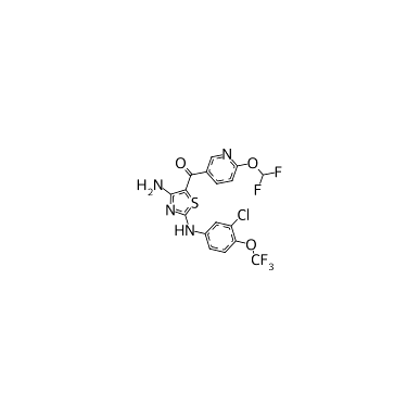 Nc1nc(Nc2ccc(OC(F)(F)F)c(Cl)c2)sc1C(=O)c1ccc(OC(F)F)nc1